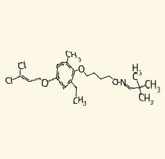 CCc1cc(OCC=C(Cl)Cl)cc(C)c1OCCCCON=CC(C)(C)C